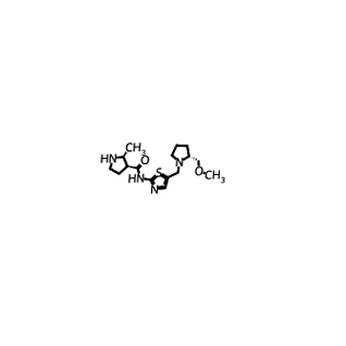 COC[C@H]1CCCN1Cc1cnc(NC(=O)[C@H]2CCN[C@H]2C)s1